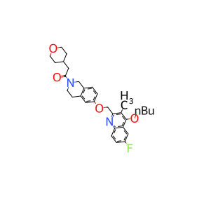 CCCCOc1c(C)c(COc2ccc3c(c2)CCN(C(=O)CC2CCOCC2)C3)nc2ccc(F)cc12